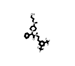 CN(CCc1cc(C(F)(F)F)cc(C(F)(F)F)c1)C(=O)C(c1ccccc1)N1CCC(N(C)CCCO)CC1